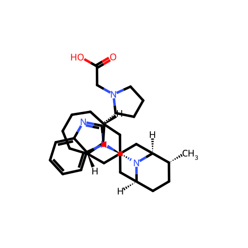 C[C@@H]1CC[C@H]2C[C@@H](n3c([C@H]4CCCN4CC(=O)O)nc4ccccc43)C[C@@H]1N2[C@@H]1C[C@@H]2CCCC[C@@H](C2)C1